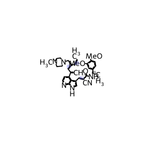 C=C(/C=C(\C=C/C)CN1CCN(C)CC1)c1ccnc2[nH]cc(/C=C(\C#N)C(=O)N[C@H](C)c3ccc(OC)c(OC)c3)c12